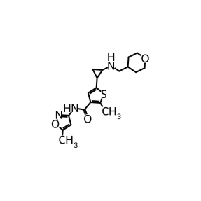 Cc1cc(NC(=O)c2cc(C3CC3NCC3CCOCC3)sc2C)no1